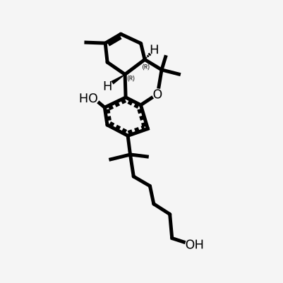 CC1=CC[C@@H]2[C@@H](C1)c1c(O)cc(C(C)(C)CCCCCO)cc1OC2(C)C